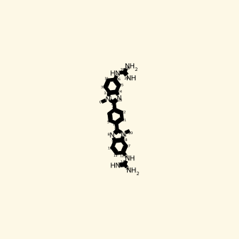 Cn1c(-c2ccc(-c3nc4ccc(NC(=N)N)cc4n3C)cc2)nc2cc(NC(=N)N)ccc21